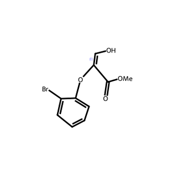 COC(=O)/C(=C\O)Oc1ccccc1Br